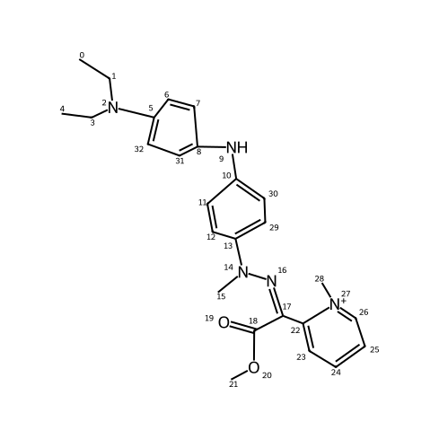 CCN(CC)c1ccc(Nc2ccc(N(C)/N=C(\C(=O)OC)c3cccc[n+]3C)cc2)cc1